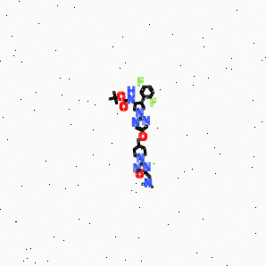 CN(C)Cc1nc(N2CCC(COc3cnc(N4C[C@H](NC(=O)OC(C)(C)C)[C@@H](c5cc(F)ccc5F)C4)nc3)CC2)no1